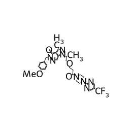 COc1ccc(Cn2ncc3c(c(C)nn3C(C)COCCC(=O)N3CCN(c4ncc(C(F)(F)F)cn4)CC3)c2=O)cc1